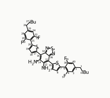 CCC(C)Cc1cc(F)c(-c2ccc(-c3c(N)c(N)c(-c4ccc(-c5c(F)cc(CC(C)CC)cc5F)s4)c4nsnc34)s2)c(F)c1